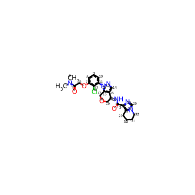 CN(C)C(=O)COc1cccc(-n2ncc3c2COC[C@H]3NC(=O)c2ncn3c2CCCC3)c1Cl